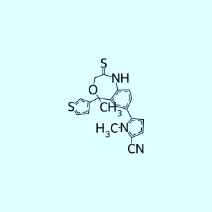 Cn1c(C#N)ccc1-c1ccc2c(c1)C(C)(c1ccsc1)OCC(=S)N2